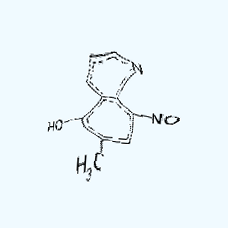 Cc1cc(N=O)c2ncccc2c1O